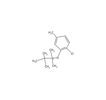 Cc1ccc(Cl)c(O[Si](C)(C)C(C)(C)C)c1